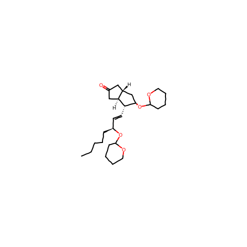 CCCCC[C@@H](C=C[C@@H]1[C@H]2CC(=O)C[C@@H]2C[C@H]1OC1CCCCO1)OC1CCCCO1